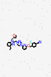 CCc1cccc2c1nc(CN1CCN(c3cccc(OCc4ccc(C#N)cc4F)n3)C=N1)n2C[C@@H]1CCO1